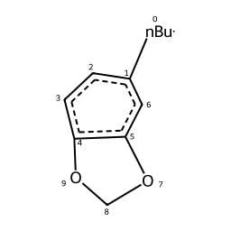 CCC[CH]c1ccc2c(c1)OCO2